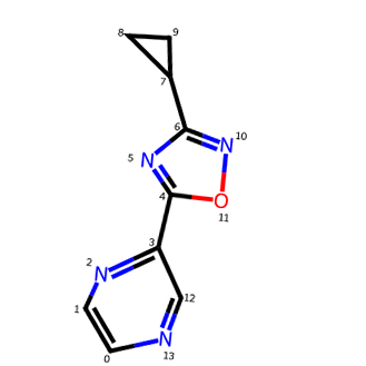 c1cnc(-c2nc(C3CC3)no2)cn1